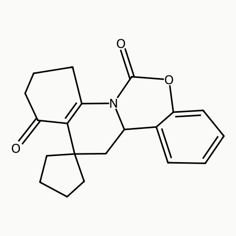 O=C1CCCC2=C1C1(CCCC1)CC1c3ccccc3OC(=O)N21